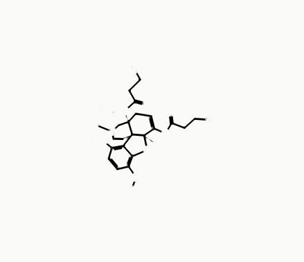 COc1ccc(C)c2c1O[C@H]1C(OC(=O)CCN)=CC[C@@]3(OC(=O)CCN)[C@@H](C)N(C)CC[C@]213